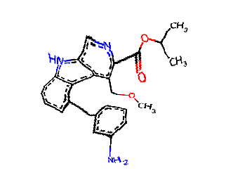 COCc1c(C(=O)OC(C)C)ncc2[nH]c3cccc(-c4cccc(N)c4)c3c12